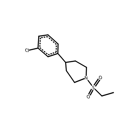 CCS(=O)(=O)N1CCC(c2cccc(Cl)c2)CC1